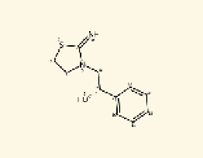 N=C1SCCN1C[C@@H](O)c1ccccc1